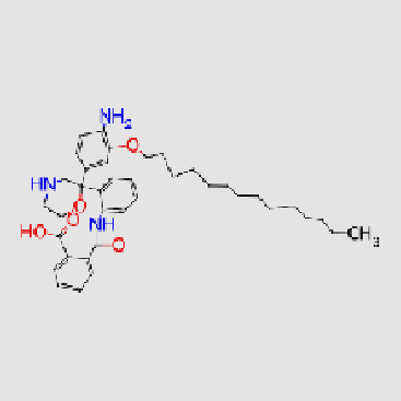 CCCCCCCCCCCCCCOc1cc(C2(c3ccccc3NC(=O)c3ccccc3C(=O)O)CNCCO2)ccc1N